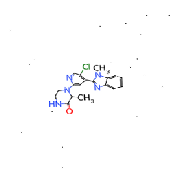 CC1C(=O)NCCN1c1cc(-c2nc3ccccc3n2C)c(Cl)cn1